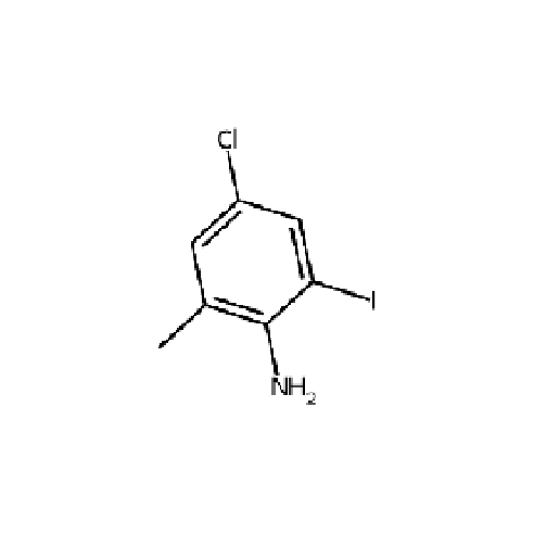 Cc1cc(Cl)cc(I)c1N